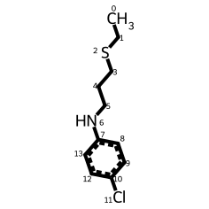 CCSCCCNc1ccc(Cl)cc1